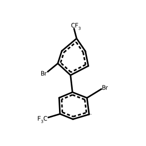 FC(F)(F)c1ccc(-c2cc(C(F)(F)F)c[c]c2Br)c(Br)c1